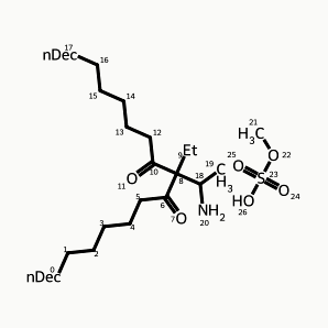 CCCCCCCCCCCCCCCC(=O)C(CC)(C(=O)CCCCCCCCCCCCCCC)C(C)N.COS(=O)(=O)O